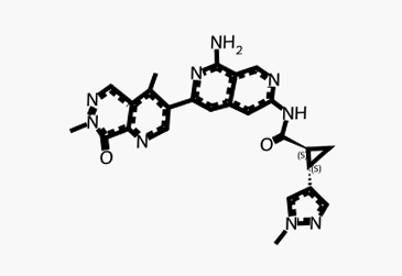 Cc1c(-c2cc3cc(NC(=O)[C@H]4C[C@@H]4c4cnn(C)c4)ncc3c(N)n2)cnc2c(=O)n(C)ncc12